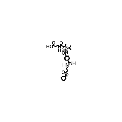 CC(C)N1C(=NC(=O)c2ccc(C(=N)NCCCC(=O)OC3CCCCC3)cc2)SC(C(=O)NCCC(=O)O)C1C